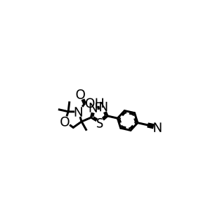 CC1(C)OCC(C)(c2nnc(-c3ccc(C#N)cc3)s2)N1C(=O)O